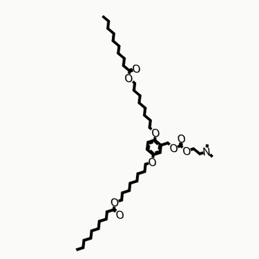 CCCCCCCCCC(=O)OCCCCCCCCOc1ccc(OCCCCCCCCOC(=O)CCCCCCCCC)c(COC(=O)OCCN(C)C)c1